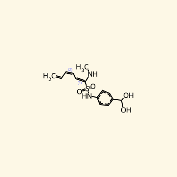 C=C/C=C\C=C(/NC)S(=O)(=O)Nc1ccc(C(O)O)cc1